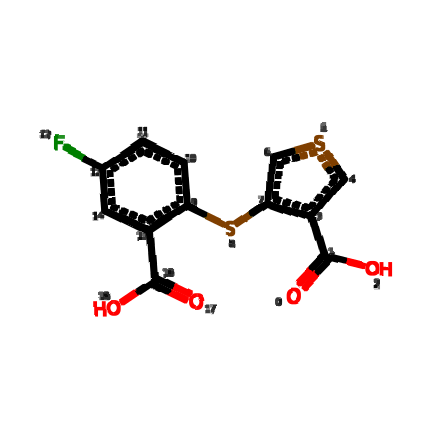 O=C(O)c1cscc1Sc1ccc(F)cc1C(=O)O